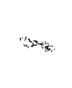 CCCN1CCN(C(=O)OC(C)(C)C)CC1CC